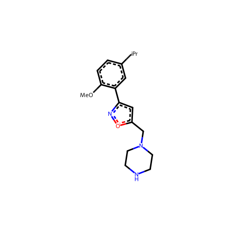 COc1ccc(C(C)C)cc1-c1cc(CN2CCNCC2)on1